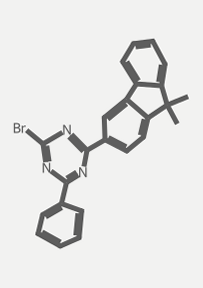 CC1(C)c2ccccc2-c2cc(-c3nc(Br)nc(-c4ccccc4)n3)ccc21